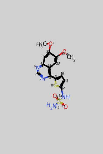 COc1cc2ncnc(-c3ccc(NS(N)(=O)=O)s3)c2cc1OC